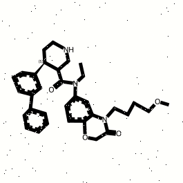 CCN(C(=O)C1CNCC[C@@H]1c1cccc(-c2ccccc2)c1)c1ccc2c(c1)N(CCCCOC)C(=O)CO2